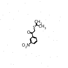 C=C(C)SCC(=O)c1cccc([N+](=O)[O-])c1